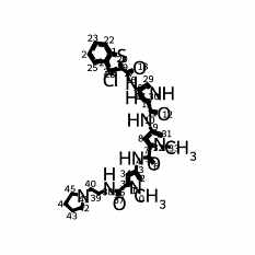 Cn1cc(NC(=O)c2cc(NC(=O)c3cc(NC(=O)c4sc5ccccc5c4Cl)c[nH]3)cn2C)cc1C(=O)NCCN1CCCC1